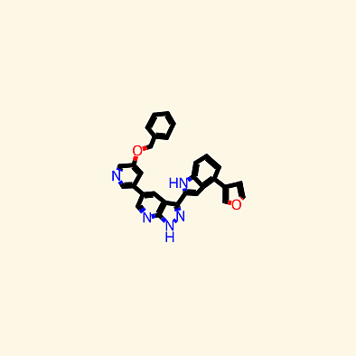 c1ccc(COc2cncc(-c3cnc4[nH]nc(-c5cc6c(-c7ccoc7)cccc6[nH]5)c4c3)c2)cc1